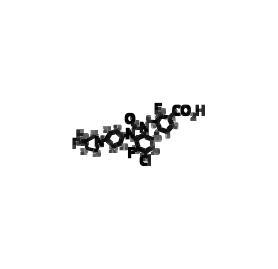 O=C(O)c1cccc(Cn2c(=O)n(-c3ccc(N4CCC(F)(F)C4)cc3)c3c(F)c(Cl)ccc32)c1F